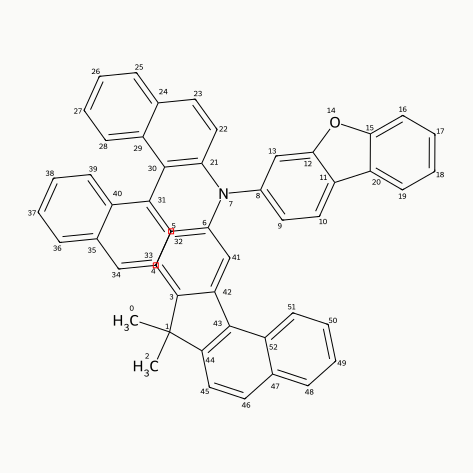 CC1(C)c2ccc(N(c3ccc4c(c3)oc3ccccc34)c3ccc4ccccc4c3-c3cccc4ccccc34)cc2-c2c1ccc1ccccc21